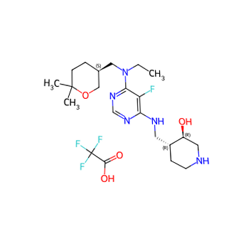 CCN(C[C@@H]1CCC(C)(C)OC1)c1ncnc(NC[C@H]2CCNC[C@@H]2O)c1F.O=C(O)C(F)(F)F